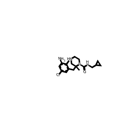 Cc1c(N)cc(Cl)cc1CC1(C)CNCCN1C(=O)NCC1CC1